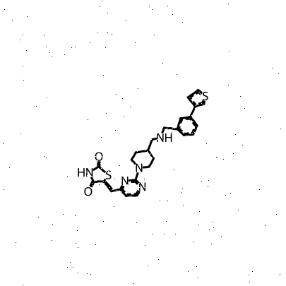 O=C1NC(=O)C(=Cc2ccnc(N3CCC(CNCc4cccc(-c5ccsc5)c4)CC3)n2)S1